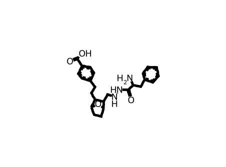 NC(Cc1ccccc1)C(=O)NNCC1C2CCC(O2)C1CCc1ccc(C(=O)O)cc1